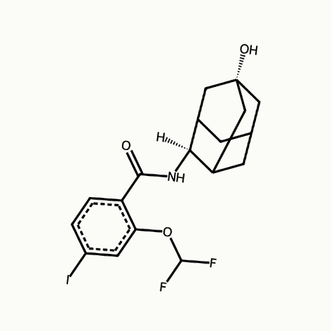 O=C(N[C@H]1C2CC3CC1C[C@](O)(C3)C2)c1ccc(I)cc1OC(F)F